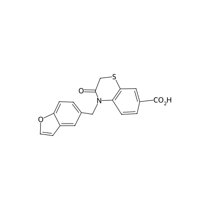 O=C(O)c1ccc2c(c1)SCC(=O)N2Cc1ccc2occc2c1